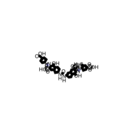 Cc1cc(S(=O)(=O)O)ccc1/N=N/c1c(S(=O)(=O)O)cc2cc(NC(=O)Nc3ccc4c(O)c(/N=N/c5ccc(C(=O)O)cc5)c(S(=O)(=O)O)cc4c3)ccc2c1O